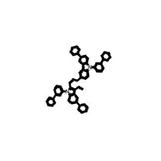 C=Cc1c(/C=C\Cc2ccc3c(c2)c2cc(-c4ccccc4)ccc2n3-c2cccc(-c3ccccc3)c2)n(-c2cccc(-c3ccccc3)c2)c2ccc(-c3ccccc3)cc12